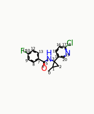 CC1CC1(NC(=O)c1ccc(F)cc1)c1ccc(Cl)nc1